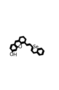 Oc1ccc2c(c1)OC1=C(C=CC3=CCc4ccccc4[Se]3)CCCC1=C2